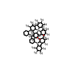 [2H]c1c([2H])c([2H])c([Si](c2c([2H])c([2H])c([2H])c([2H])c2[2H])(c2c([2H])c([2H])c([2H])c([2H])c2[2H])c2c([2H])c([2H])c([2H])c(-c3ccccc3Nc3cccc(-n4c5c([2H])c([2H])c([2H])c([2H])c5c5c([2H])c([2H])c([2H])c([2H])c54)c3)c2[2H])c([2H])c1[2H]